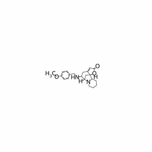 COc1ccc(CN[C@H]2CC3=CC(=O)O[C@@]34C[C@@H]2N2CCCC[C@@H]24)cc1